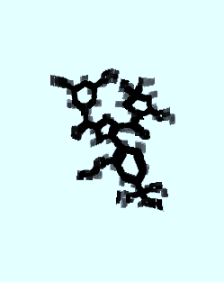 CC(C)Oc1cc(C(O)(C(F)(F)F)C(F)(F)F)ccc1-c1sc(C(=O)N2C[C@H](O)C[C@H](O)C2)nc1C(=O)N1CC(F)(F)CC1C